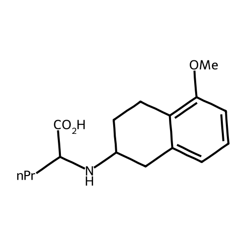 CCCC(NC1CCc2c(cccc2OC)C1)C(=O)O